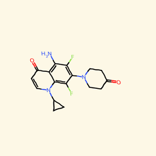 Nc1c(F)c(N2CCC(=O)CC2)c(F)c2c1c(=O)ccn2C1CC1